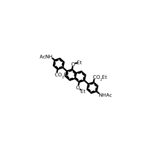 CCOC(=O)c1cc(NC(C)=O)ccc1-c1ccc2c(OCC)c(-c3ccc(NC(C)=O)cc3C(=O)OCC)ccc2c1OCC